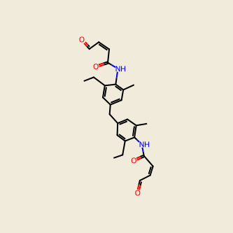 CCc1cc(Cc2cc(C)c(NC(=O)/C=C\C=O)c(CC)c2)cc(C)c1NC(=O)/C=C\C=O